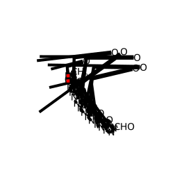 CN1CN2C(=O)N3CN4C(=O)N5CN6C(=O)N7CN8C(=O)N9CN%10C(=O)N%11CN%12C(=O)N%13CN(C=O)C%14C1N1CN%15C(=O)N(CN%16C(=O)N(CN%17C(=O)N(CN%18C(=O)N(CN%19C(=O)N(CN%20C(=O)N(CN%14C1=O)C%13C%12%20)C%11C%10%19)C9C8%18)C7C6%17)C5C4%16)C3C2%15